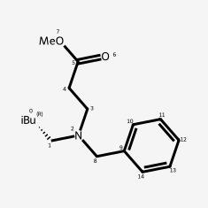 CC[C@@H](C)CN(CCC(=O)OC)Cc1ccccc1